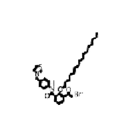 CCCCCCCCCCCCCCCCOc1c(C(C)=O)cccc1C(=O)Nc1ccc(C[n+]2ccsc2)cc1.[Br-]